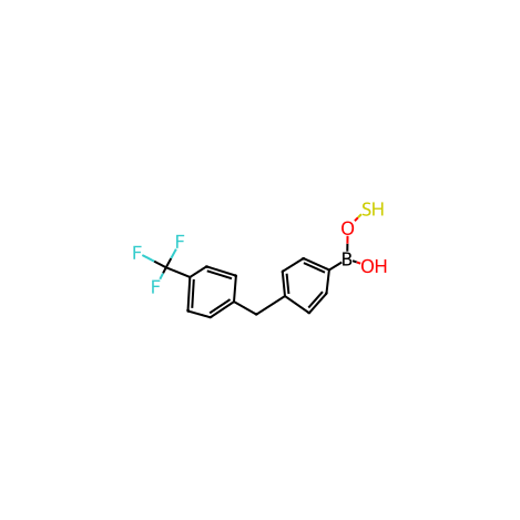 OB(OS)c1ccc(Cc2ccc(C(F)(F)F)cc2)cc1